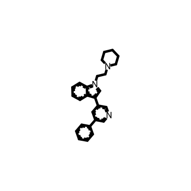 c1ccc(-c2cncc(-c3cn(CCN4CCCCC4)c4ccccc34)c2)cc1